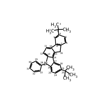 CC(C)(C)c1ccc2c(c1)-c1ccc3c(c1C2)c1cc(C(C)(C)C)ccc1n3-c1ccccc1